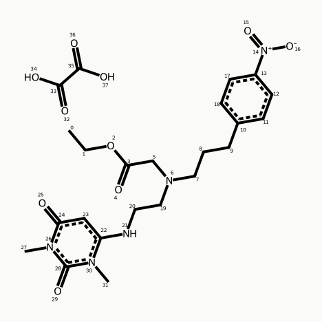 CCOC(=O)CN(CCCc1ccc([N+](=O)[O-])cc1)CCNc1cc(=O)n(C)c(=O)n1C.O=C(O)C(=O)O